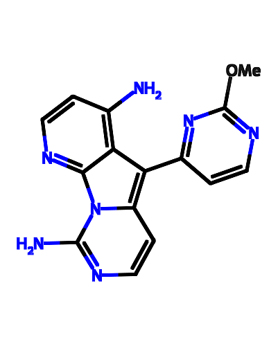 COc1nccc(-c2c3c(N)ccnc3n3c(N)nccc23)n1